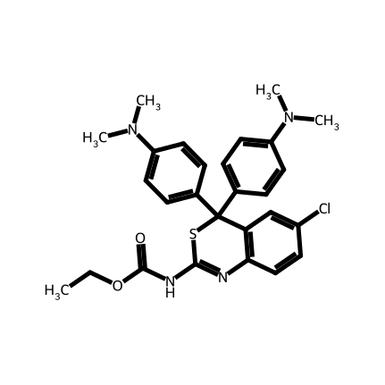 CCOC(=O)NC1=Nc2ccc(Cl)cc2C(c2ccc(N(C)C)cc2)(c2ccc(N(C)C)cc2)S1